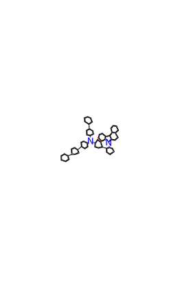 c1ccc(-c2ccc(-c3ccc(N(c4ccc(-c5ccccc5)cc4)c4ccc(-c5ccccc5-n5c6ccccc6c6c7ccccc7ccc65)cc4)cc3)cc2)cc1